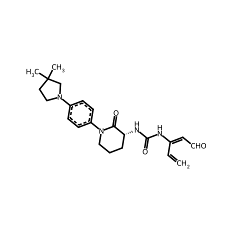 C=C/C(=C\C=O)NC(=O)N[C@@H]1CCCN(c2ccc(N3CCC(C)(C)C3)cc2)C1=O